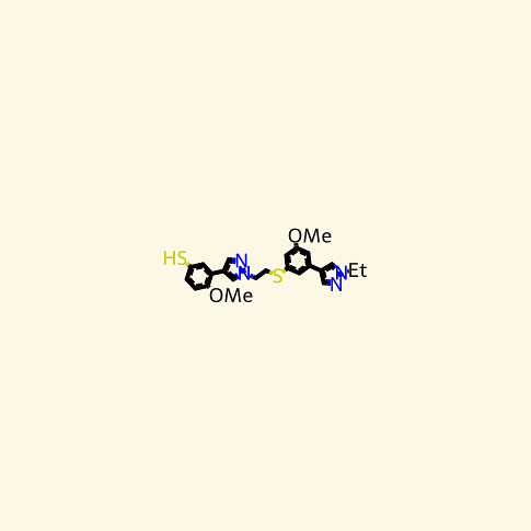 CCn1cc(-c2cc(OC)cc(SCCn3cc(-c4cc(S)ccc4OC)cn3)c2)cn1